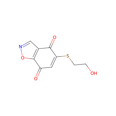 O=C1C(SCCO)=CC(=O)c2oncc21